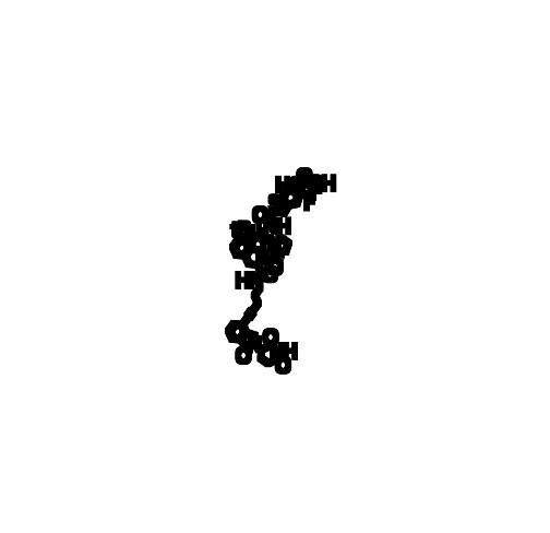 CC(C)(C)C(NC(=O)c1cc2cc(C(F)(F)P(=O)(O)O)ccc2s1)C(=O)N1CCC[C@H]1C(=O)N1Cc2ccccc2CC1C(=O)NCCCC#Cc1cccc2c1CN(C1CCC(=O)NC1=O)C2=O